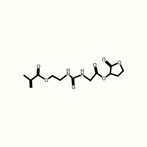 C=C(C)C(=O)OCCNC(=O)NCC(=O)OC1CCOC1=O